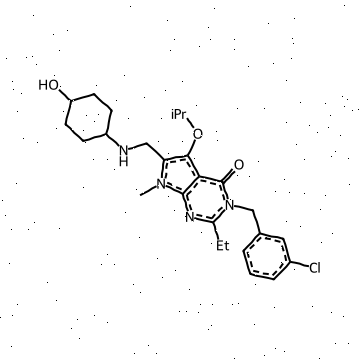 CCc1nc2c(c(OC(C)C)c(CNC3CCC(O)CC3)n2C)c(=O)n1Cc1cccc(Cl)c1